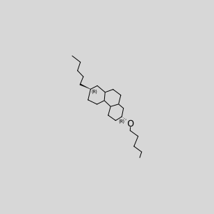 CCCCCO[C@@H]1CCC2C(CCC3C[C@H](CCCCC)CCC32)C1